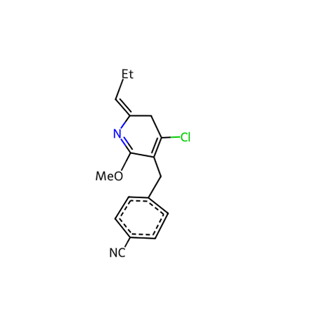 CC/C=C1\CC(Cl)=C(Cc2ccc(C#N)cc2)C(OC)=N1